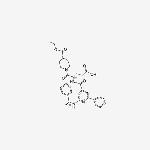 CCOC(=O)N1CCN(C(=O)[C@H](CCC(=O)O)NC(=O)c2cc(N[C@@H](C)c3ccccc3)nc(-c3ccccc3)n2)CC1